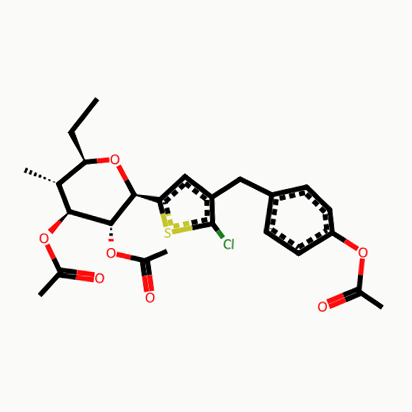 CC[C@H]1O[C@@H](c2cc(Cc3ccc(OC(C)=O)cc3)c(Cl)s2)[C@H](OC(C)=O)[C@@H](OC(C)=O)[C@@H]1C